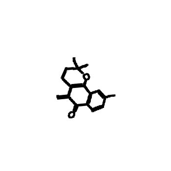 C=C1C(=O)c2ccc(C)cc2C2=C1CCC(C)(C)O2